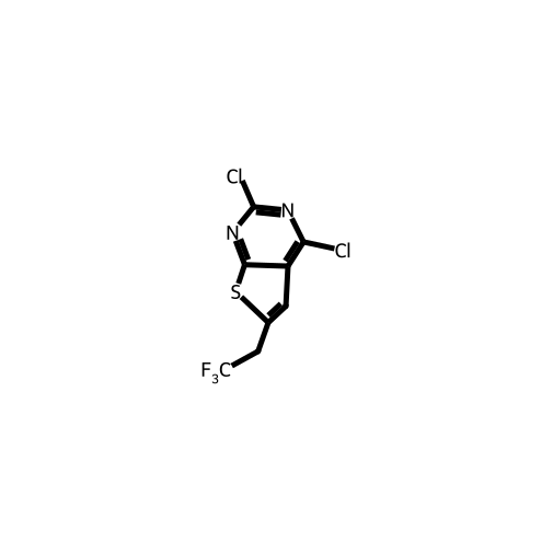 FC(F)(F)Cc1cc2c(Cl)nc(Cl)nc2s1